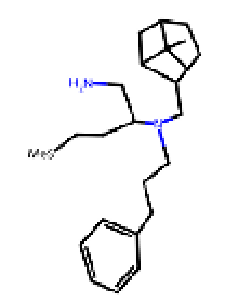 CSCCC(CN)N(CCCc1ccccc1)CC1CCC2CC1C2(C)C